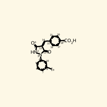 O=C1NN(c2cccc(I)c2)C(=O)C1=Cc1ccc(C(=O)O)cc1